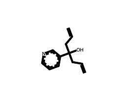 C=CCC(O)(CC=C)c1cccnc1